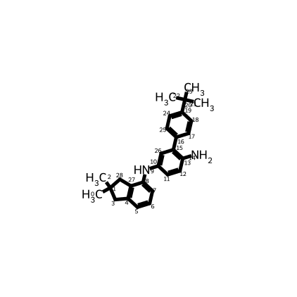 CC1(C)Cc2cccc(Nc3ccc(N)c(-c4ccc(C(C)(C)C)cc4)c3)c2C1